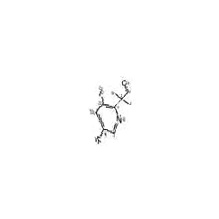 CC(C)(C=O)c1ncc(F)cc1F